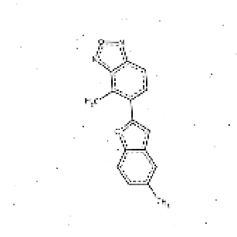 Cc1ccc2oc(-c3ccc4nonc4c3C)cc2c1